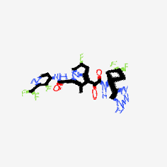 Cc1c(C(=O)C(=O)NC2(c3c[nH]nn3)CC(F)(F)C2)c2n(c1C(=O)Nc1ccnc(C(F)F)c1F)CC(F)C2